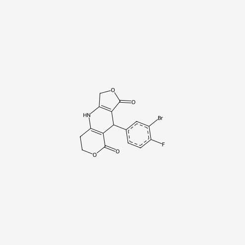 O=C1OCCC2=C1C(c1ccc(F)c(Br)c1)C1=C(COC1=O)N2